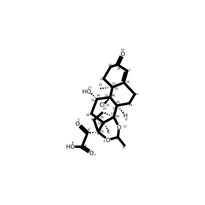 CC1O[C@@]2(C(=O)C(=O)O)CC[C@@]3(O1)[C@@H]1CCC4=CC(=O)CC[C@]4(C)[C@@]1(Cl)[C@@H](O)C[C@]23C